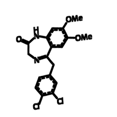 COc1cc2c(cc1OC)C(Cc1ccc(Cl)c(Cl)c1)=NCC(=O)N2